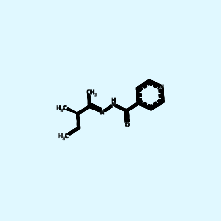 CC[C@@H](C)/C(C)=N/NC(=O)c1ccncc1